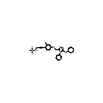 Cc1cc(OCc2nnc(SC3C=CCCC3)n2-c2cccnc2)ccc1C#CCNS(C)(=O)=O